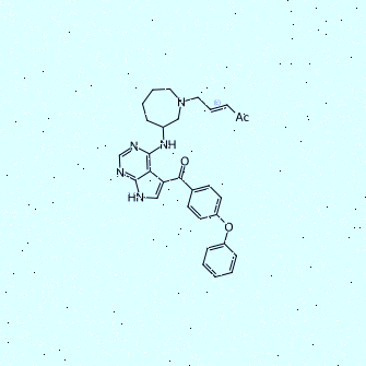 CC(=O)/C=C/CN1CCCCC(Nc2ncnc3[nH]cc(C(=O)c4ccc(Oc5ccccc5)cc4)c23)C1